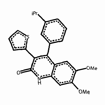 COc1cc2[nH]c(=O)c(-c3cccs3)c(-c3cccc(C(C)C)c3)c2cc1OC